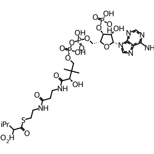 CC(C)C(C(=O)O)C(=O)SCCNC(=O)CCNC(=O)[C@H](O)C(C)(C)COP(=O)(O)OP(=O)(O)OC[C@H]1O[C@@H](n2cnc3c(N)ncnc32)[C@H](O)[C@@H]1OP(=O)(O)O